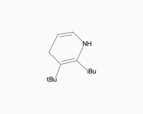 CCC(C)C1=C(C(C)(C)C)CC=CN1